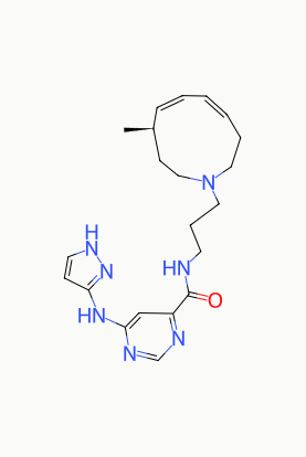 C[C@H]1/C=C\C=C/CCN(CCCNC(=O)c2cc(Nc3cc[nH]n3)ncn2)CC1